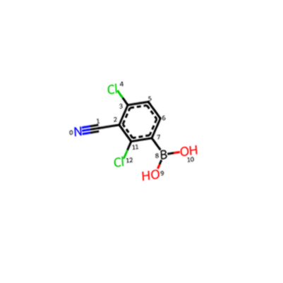 N#Cc1c(Cl)ccc(B(O)O)c1Cl